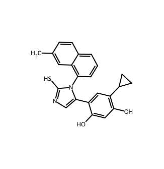 Cc1ccc2cccc(-n3c(-c4cc(C5CC5)c(O)cc4O)cnc3S)c2c1